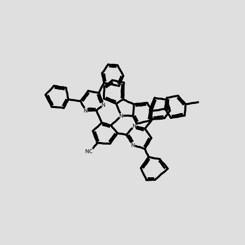 Cc1ccc(-c2ccc3c(c2)c2ccccc2n3-c2c(-c3nc(-c4ccccc4)cc(-c4ccccc4)n3)cc(C#N)cc2-c2nc(-c3ccccc3)cc(-c3ccccc3)n2)cc1